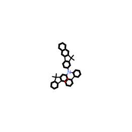 CC1(C)c2ccccc2-c2ccc(N(c3ccc4c(c3)C(C)(C)c3cc5ccccc5cc3-4)c3ccccc3-c3ccccc3)cc21